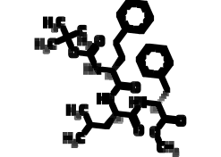 COC(=O)[C@@H](Cc1ccccc1)NC(=O)[C@@H](CC(C)C)NC(=O)[C@H](CCc1ccccc1)NC(=O)OC(C)(C)C